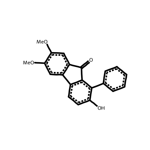 COc1cc2c(cc1OC)-c1ccc(O)c(-c3ccccc3)c1C2=O